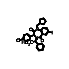 O=C(O)C(c1ccccc1)N1C(=O)c2cc(I)ccc2N(CC2CCCC2)C(=O)C1c1ccc(Cl)cc1